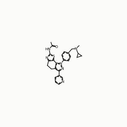 CC(=O)Nc1nc2c(s1)-c1c(c(-c3cccnc3)nn1-c1ccc(CN(C)C3CC3)cc1)CC2